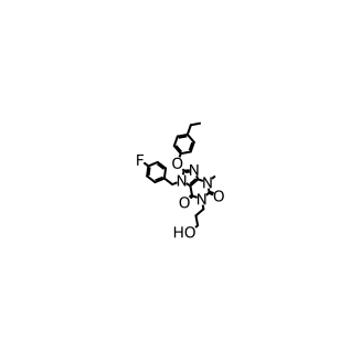 CCc1ccc(Oc2nc3c(c(=O)n(CCCO)c(=O)n3C)n2Cc2ccc(F)cc2)cc1